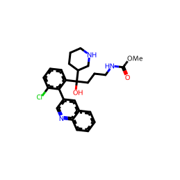 COC(=O)NCCCC(O)(c1cccc(Cl)c1-c1cnc2ccccc2c1)C1CCCNC1